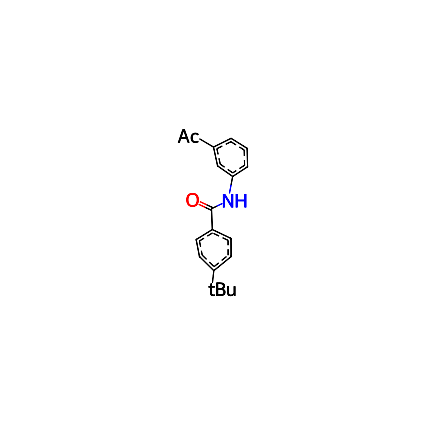 CC(=O)c1cccc(NC(=O)c2ccc(C(C)(C)C)cc2)c1